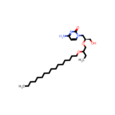 [CH2]CC(CO[C@H](CO)Cn1ccc(N)nc1=O)OCCCCCCCCCCCCCCCC